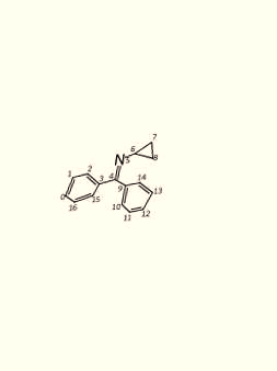 c1ccc(C(=NC2CC2)c2ccccc2)cc1